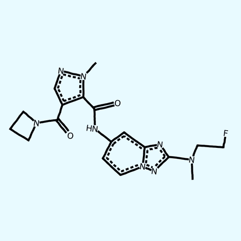 CN(CCF)c1nc2cc(NC(=O)c3c(C(=O)N4CCC4)cnn3C)ccn2n1